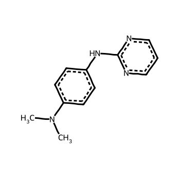 CN(C)c1ccc(Nc2ncccn2)cc1